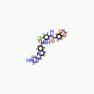 O=C(Nc1ccc(Cl)c(NC(=O)c2ccc3nc(CN4CCNCC4)ccc3c2)c1)c1ccc2c(c1)OCCO2